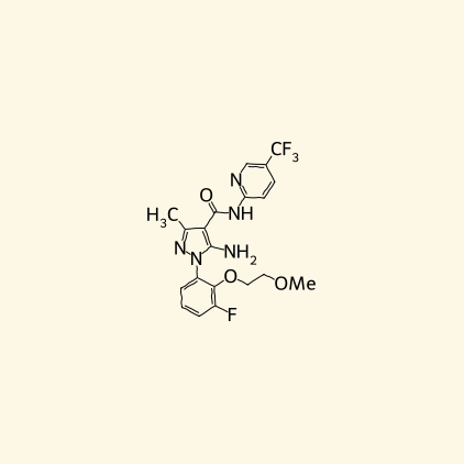 COCCOc1c(F)cccc1-n1nc(C)c(C(=O)Nc2ccc(C(F)(F)F)cn2)c1N